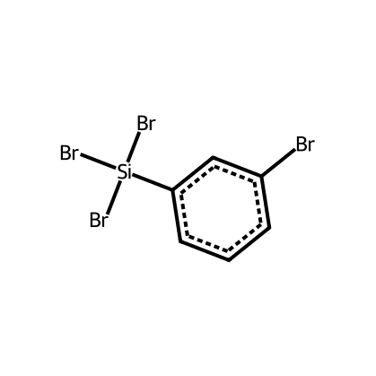 Brc1cccc([Si](Br)(Br)Br)c1